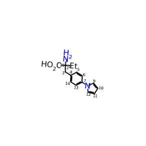 CCC(N)(Cc1ccc(-n2cccc2)cc1)C(=O)O